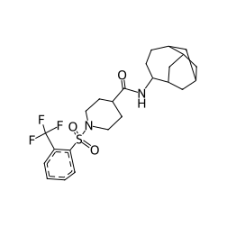 O=C(NC1CCC2CC3CC2CC1C3)C1CCN(S(=O)(=O)c2ccccc2C(F)(F)F)CC1